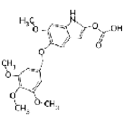 COc1cc2[nH]c(OC(=O)O)cc2cc1OCc1cc(OC)c(OC)c(OC)c1